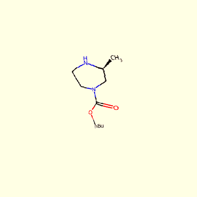 CCCCOC(=O)N1CCN[C@@H](C)C1